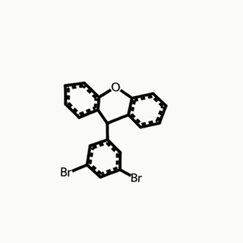 Brc1cc(Br)cc(C2c3ccccc3Oc3ccccc32)c1